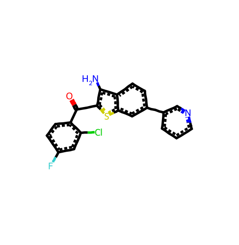 Nc1c(C(=O)c2ccc(F)cc2Cl)sc2cc(-c3cccnc3)ccc12